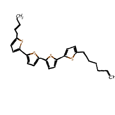 CCCCCCc1ccc(-c2ccc(-c3ccc(-c4ccc(CCC)s4)s3)s2)s1